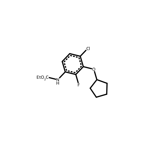 CCOC(=O)Nc1ccc(Cl)c(OC2CCCC2)c1F